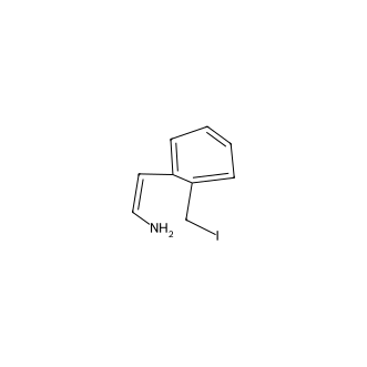 N/C=C\c1ccccc1CI